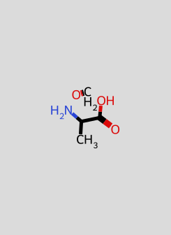 C=O.CC(N)C(=O)O